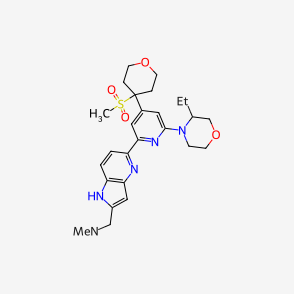 CCC1COCCN1c1cc(C2(S(C)(=O)=O)CCOCC2)cc(-c2ccc3[nH]c(CNC)cc3n2)n1